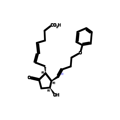 O=C(O)CCC=C=CC[C@H]1C(=O)C[C@@H](O)[C@@H]1/C=C/CCOc1ccccc1